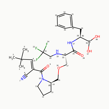 CC(C)(C)C=C(C#N)C(=O)N1CCC[C@@H]1COC[C@H](NCC(F)(F)F)C(=O)N[C@@H](Cc1ccccc1)B(O)O